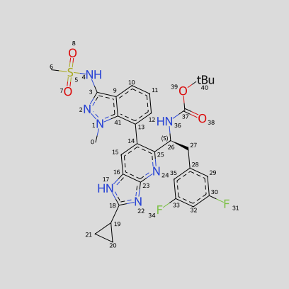 Cn1nc(NS(C)(=O)=O)c2cccc(-c3cc4[nH]c(C5CC5)nc4nc3[C@H](Cc3cc(F)cc(F)c3)NC(=O)OC(C)(C)C)c21